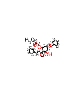 COC(=O)COc1cc(OCc2ccccc2)cc(O)c1C(=O)C=CC1C=CC=CC1